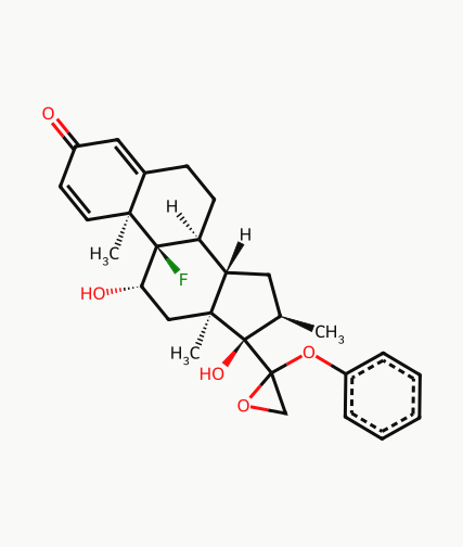 C[C@@H]1C[C@H]2[C@@H]3CCC4=CC(=O)C=C[C@]4(C)[C@@]3(F)[C@@H](O)C[C@]2(C)[C@@]1(O)C1(Oc2ccccc2)CO1